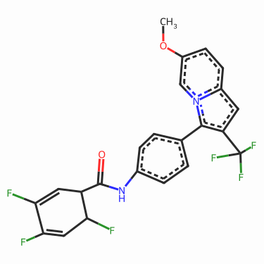 COc1ccc2cc(C(F)(F)F)c(-c3ccc(NC(=O)C4C=C(F)C(F)=CC4F)cc3)n2c1